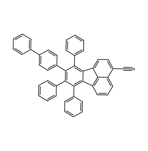 N#Cc1ccc2c3c(cccc13)-c1c(-c3ccccc3)c(-c3ccccc3)c(-c3ccc(-c4ccccc4)cc3)c(-c3ccccc3)c1-2